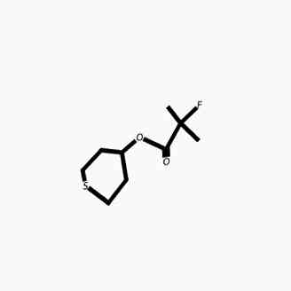 CC(C)(F)C(=O)OC1CCSCC1